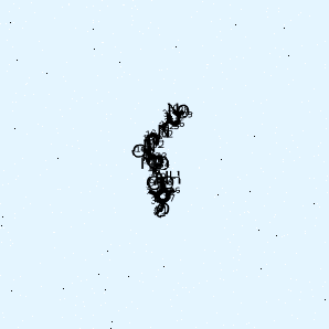 COc1cc(C)c(S(=O)(=O)NCc2nc(C(=O)N3CCC(N(C)Cc4ccc(OC)nc4)C3)co2)c(C)c1